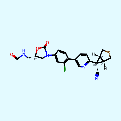 N#C[C@]1(c2ccc(-c3ccc(N4C[C@H](CNC=O)OC4=O)cc3F)cn2)[C@@H]2CSC[C@@H]21